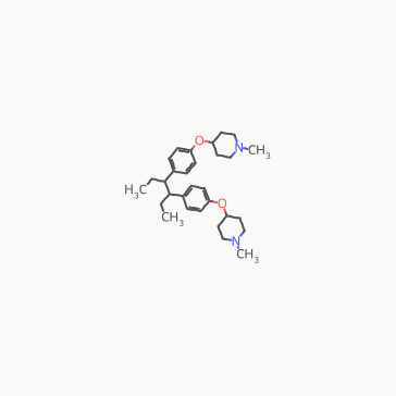 CCC(c1ccc(OC2CCN(C)CC2)cc1)C(CC)c1ccc(OC2CCN(C)CC2)cc1